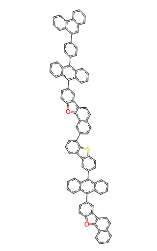 c1ccc2c(c1)cc(-c1ccc(-c3c4ccccc4c(-c4ccc5oc6c7cc(-c8cccc9c8sc8ccc(-c%10c%11ccccc%11c(-c%11ccc%12oc%13c%14ccccc%14ccc%13c%12c%11)c%11ccccc%10%11)cc89)ccc7ccc6c5c4)c4ccccc34)cc1)c1ccccc12